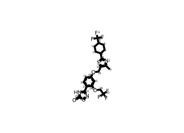 Cc1nc(C2CCC(C(F)(F)F)CC2)sc1COc1ccc(-c2noc(=O)[nH]2)c(OCC(F)(F)F)c1